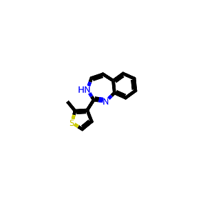 Cc1sccc1C1=Nc2ccccc2C=CN1